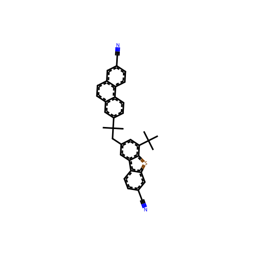 CC(C)(C)c1cc(CC(C)(C)c2ccc3c(ccc4cc(C#N)ccc43)c2)cc2c1sc1cc(C#N)ccc12